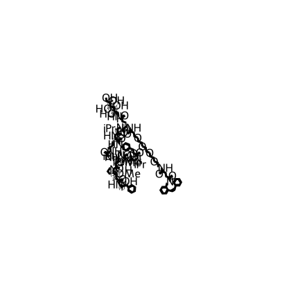 CC[C@H](C)[C@@H]([C@@H](CC(=O)N1CCC[C@H]1[C@H](OC)[C@@H](C)C(=O)N[C@H](C)[C@@H](O)c1ccccc1)OC)N(C)C(=O)[C@@H](NC(=O)[C@H](C(C)C)N(C)C(=O)OCc1ccc(NC(=O)[C@H](CCCNC(N)=O)NC(=O)[C@@H](NC(=O)[C@@H](CCC(=O)NC[C@H](O)[C@@H](O)[C@H](O)[C@H](O)CO)NC(=O)CCOCCOCCOCCOCCNC(=O)CCC(=O)N2Cc3ccccc3C#Cc3ccccc32)C(C)C)cc1)C(C)C